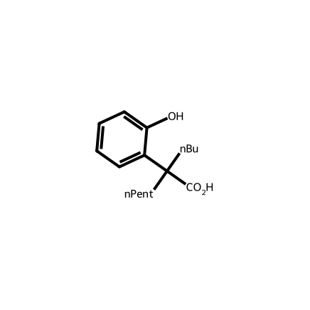 CCCCCC(CCCC)(C(=O)O)c1ccccc1O